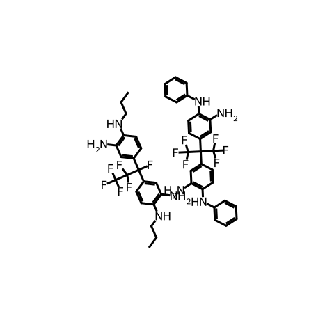 CCCNc1ccc(C(F)(c2ccc(NCCC)c(N)c2)C(F)(F)C(F)(F)F)cc1N.Nc1cc(C(c2ccc(Nc3ccccc3)c(N)c2)(C(F)(F)F)C(F)(F)F)ccc1Nc1ccccc1